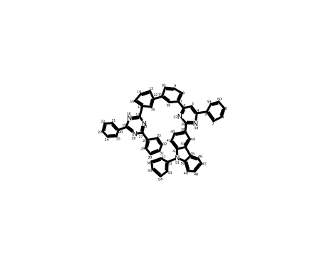 c1ccc(-c2cc(-c3cccc(-c4cccc(-c5nc(-c6ccccc6)nc(-c6ccccc6)n5)c4)c3)nc(-c3ccc4c(c3)c3ccccc3n4-c3ccccc3)n2)cc1